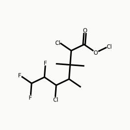 CC(C(Cl)C(F)C(F)F)C(C)(C)C(Cl)C(=O)OCl